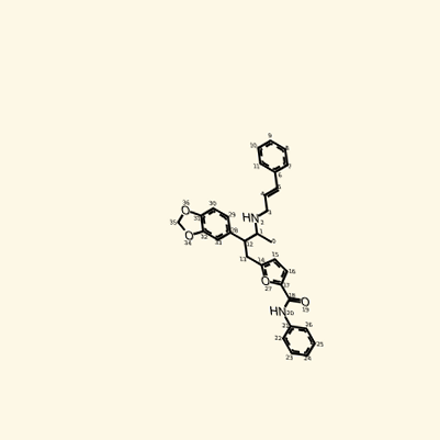 CC(NCC=Cc1ccccc1)C(Cc1ccc(C(=O)Nc2ccccc2)o1)c1ccc2c(c1)OCO2